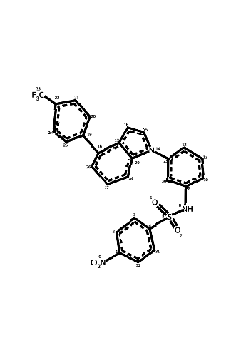 O=[N+]([O-])c1ccc(S(=O)(=O)Nc2cccc(-n3ccc4c(-c5ccc(C(F)(F)F)cc5)cccc43)c2)cc1